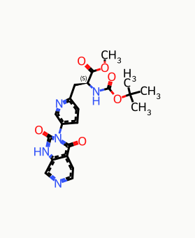 COC(=O)[C@H](Cc1ccc(-n2c(=O)[nH]c3cnccc3c2=O)cn1)NC(=O)OC(C)(C)C